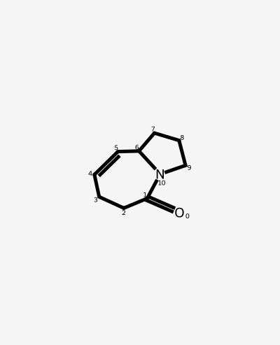 O=C1CCC=CC2CCCN12